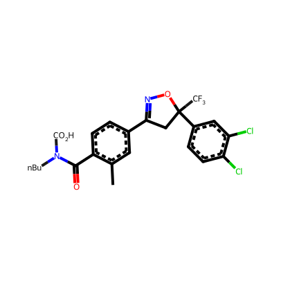 [CH2]CCCN(C(=O)O)C(=O)c1ccc(C2=NOC(c3ccc(Cl)c(Cl)c3)(C(F)(F)F)C2)cc1C